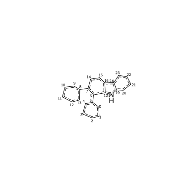 [c]1ccccc1-c1c(-c2ccccc2)ccc2c1[nH]c1ccccc12